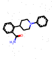 NC(=O)c1ccccc1C1CCN(c2ccccc2)CC1